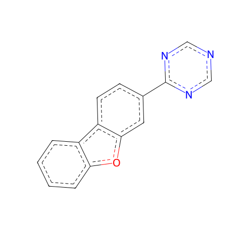 c1ccc2c(c1)oc1cc(-c3ncncn3)ccc12